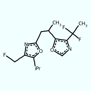 CC(C)c1oc(CC(C)c2ocnc2C(C)(F)F)nc1CF